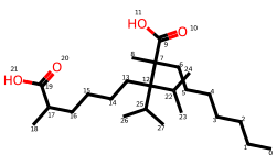 CCCCCCCC(C)(C(=O)O)C(CCCCC(C)C(=O)O)(C(C)C)C(C)C